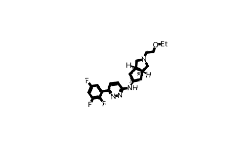 CCOCCN1C[C@H]2C[C@H](Nc3ccc(-c4cc(F)cc(F)c4F)nn3)C[C@H]2C1